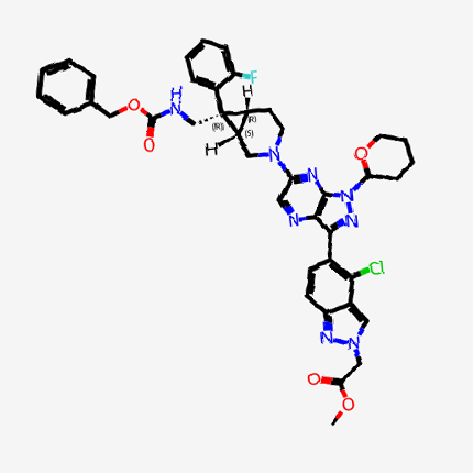 COC(=O)Cn1cc2c(Cl)c(-c3nn(C4CCCCO4)c4nc(N5CC[C@@H]6[C@H](C5)[C@@]6(CNC(=O)OCc5ccccc5)c5ccccc5F)cnc34)ccc2n1